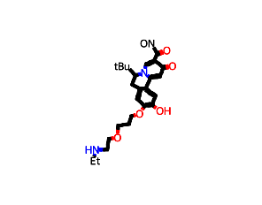 CCNCCOCCCOc1cc2c(cc1O)-c1cc(=O)c(C(=O)N=O)cn1C(C(C)(C)C)C2